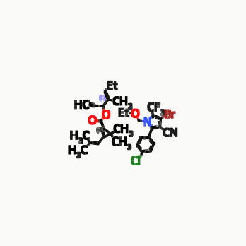 C#CC(OC(=O)[C@@H]1C(C=C(C)C)C1(C)C)/C(C)=C/CC.CCOCn1c(-c2ccc(Cl)cc2)c(C#N)c(Br)c1C(F)(F)F